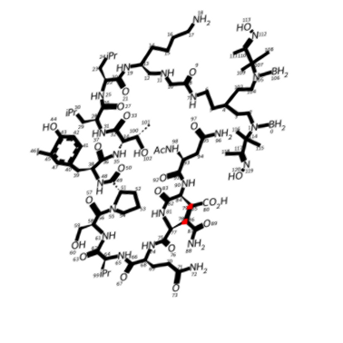 BN(CCC(CCNC(=O)CNC[C@H](CCCCN)NC(=O)[C@H](CC(C)C)NC(=O)[C@H](CC(C)C)NC(=O)[C@@H](NC(=O)[C@H](Cc1ccc(O)c(I)c1)NC(=O)[C@@H]1CCCN1C(=O)[C@H](CO)NC(=O)[C@@H](NC(=O)[C@H](CCC(N)=O)NC(=O)[C@H](CCC(=O)O)NC(=O)[C@H](CCC(N)=O)NC(=O)[C@H](CC(N)=O)NC(C)=O)C(C)C)[C@H](C)O)CCN(B)C(C)(C)/C(C)=N/O)C(C)(C)/C(C)=N/O